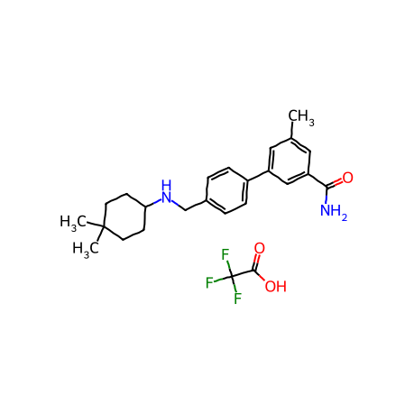 Cc1cc(C(N)=O)cc(-c2ccc(CNC3CCC(C)(C)CC3)cc2)c1.O=C(O)C(F)(F)F